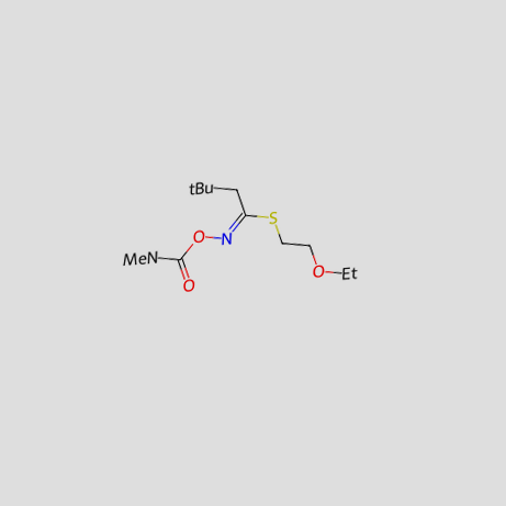 CCOCCSC(CC(C)(C)C)=NOC(=O)NC